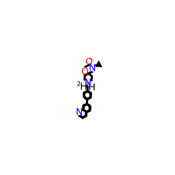 [2H]C([2H])(c1ccc(-c2ccc3cccnc3c2)cc1)N1CCC2(CC1)CN(C1CC1)C(=O)CO2